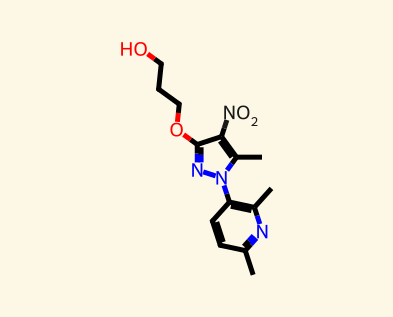 Cc1ccc(-n2nc(OCCCO)c([N+](=O)[O-])c2C)c(C)n1